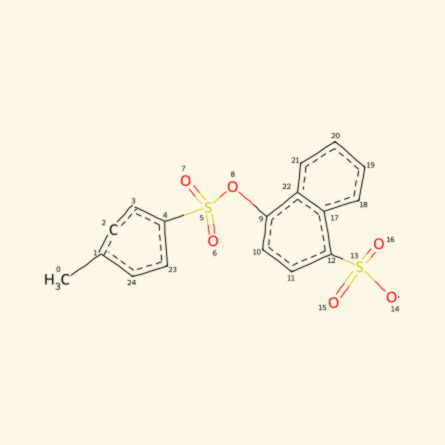 Cc1ccc(S(=O)(=O)Oc2ccc(S([O])(=O)=O)c3ccccc23)cc1